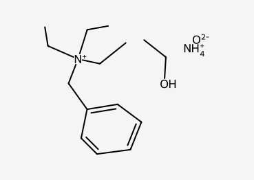 CCO.CC[N+](CC)(CC)Cc1ccccc1.[NH4+].[O-2]